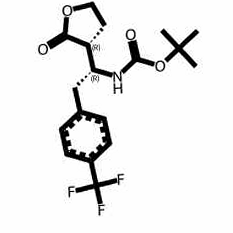 CC(C)(C)OC(=O)N[C@H](Cc1ccc(C(F)(F)F)cc1)[C@H]1CCOC1=O